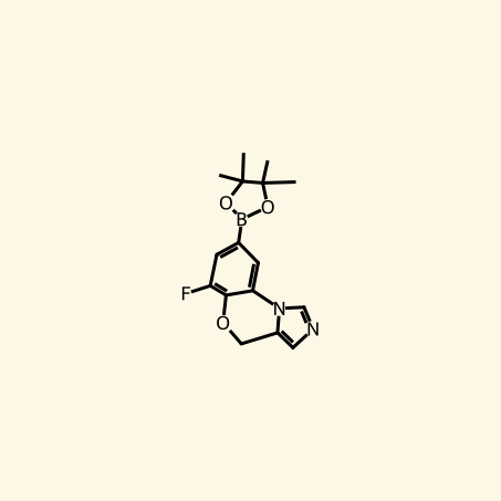 CC1(C)OB(c2cc(F)c3c(c2)-n2cncc2CO3)OC1(C)C